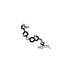 CC1(O)CN(Cc2cnc3cc(Oc4ccc(-c5ccn[nH]5)cn4)ccc3c2)C1